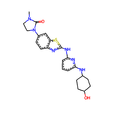 CN1CCN(c2ccc3nc(Nc4cccc(NC5CCC(O)CC5)n4)sc3c2)C1=O